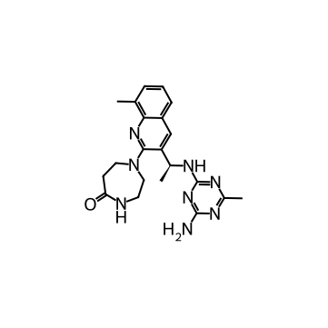 Cc1nc(N)nc(N[C@@H](C)c2cc3cccc(C)c3nc2N2CCNC(=O)CC2)n1